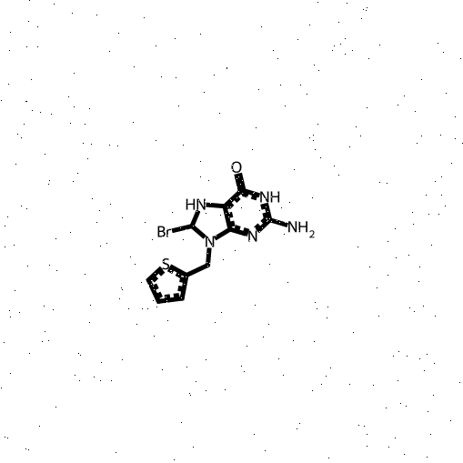 Nc1nc2c(c(=O)[nH]1)NC(Br)N2Cc1cccs1